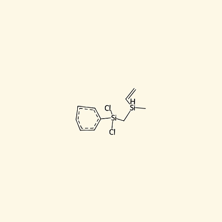 C=C[SiH](C)C[Si](Cl)(Cl)c1ccccc1